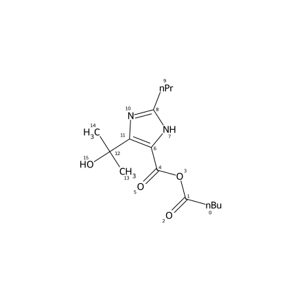 CCCCC(=O)OC(=O)c1[nH]c(CCC)nc1C(C)(C)O